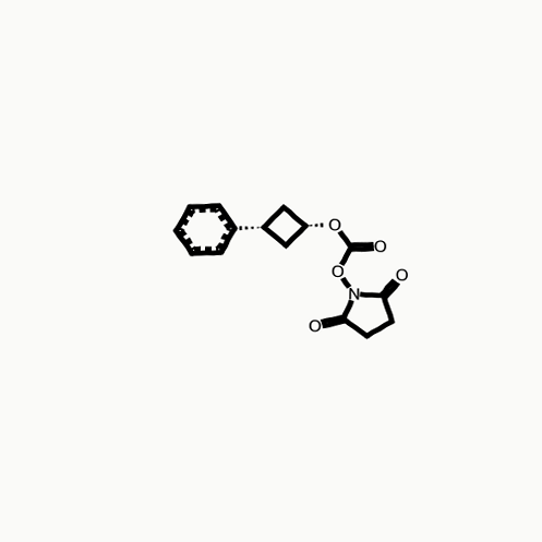 O=C(ON1C(=O)CCC1=O)O[C@H]1C[C@@H](c2ccccc2)C1